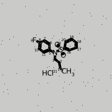 CCCCN(c1ccc(F)cc1)S(=O)(=O)c1ccccc1.Cl